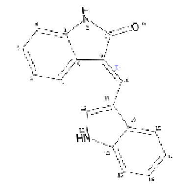 O=C1Nc2ccccc2/C1=C\c1c[nH]c2ccccc12